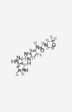 Cc1cc2[nH]c(-c3n[nH]c4c3C[C@@H]3C[C@]3(C)C4)nc2cc1N(C)C(=O)CN1CCOC(C)(C)C1